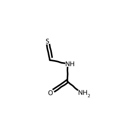 NC(=O)NC=S